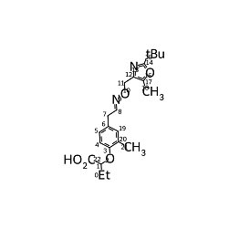 CCC(Oc1ccc(CC=NOCc2nc(C(C)(C)C)oc2C)cc1C)C(=O)O